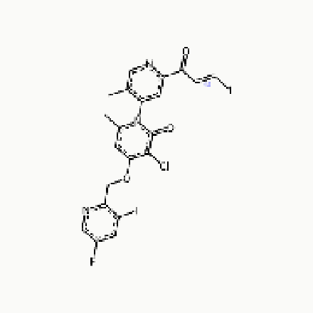 Cc1cnc(C(=O)/C=C/I)cc1-n1c(C)cc(OCc2ncc(F)cc2F)c(Cl)c1=O